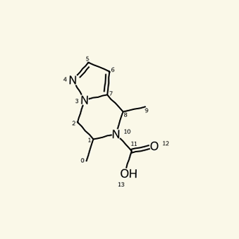 CC1Cn2nccc2C(C)N1C(=O)O